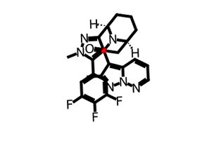 Cc1nn2ncccc2c1C(=O)N1[C@H]2CCC[C@@H]1c1nn(C)c(-c3cc(F)c(F)c(F)c3)c1C2